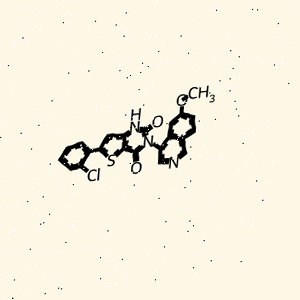 COc1ccc2cncc(-n3c(=O)[nH]c4cc(-c5ccccc5Cl)sc4c3=O)c2c1